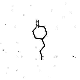 FCCC1CCNCC1